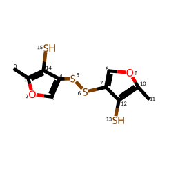 Cc1occ(SSc2coc(C)c2S)c1S